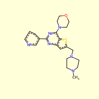 CN1CCN(Cc2cc3nc(-c4cccnc4)nc(N4CCOCC4)c3s2)CC1